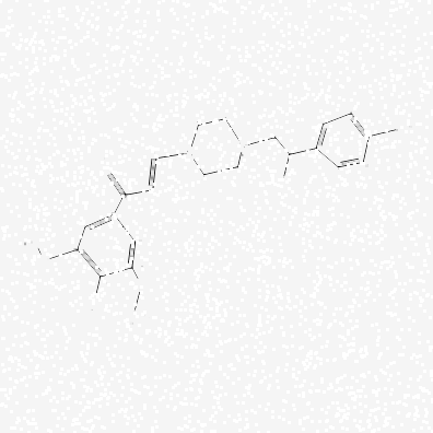 CCCCOc1cc(C(=O)C=CN2CCN(CC(O)c3ccc(F)cc3)CC2)cc(OCCCC)c1O